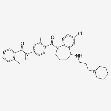 Cc1ccccc1C(=O)Nc1ccc(C(=O)N2CCCC(NCCCN3CCCCC3)c3cc(Cl)ccc32)c(C)c1